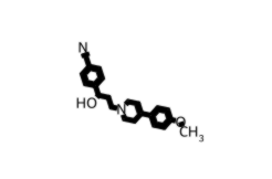 COc1ccc(C2=CCN(CCC(O)c3ccc(C#N)cc3)CC2)cc1